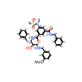 COc1cccc(CNC[C@@H](O)[C@H](Cc2ccccc2)NC(=O)c2cc(C(=O)NCc3ccccc3)cc(N(C)S(C)(=O)=O)c2)c1